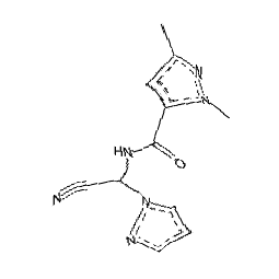 Cc1cc(C(=O)NC(C#N)n2cccn2)n(C)n1